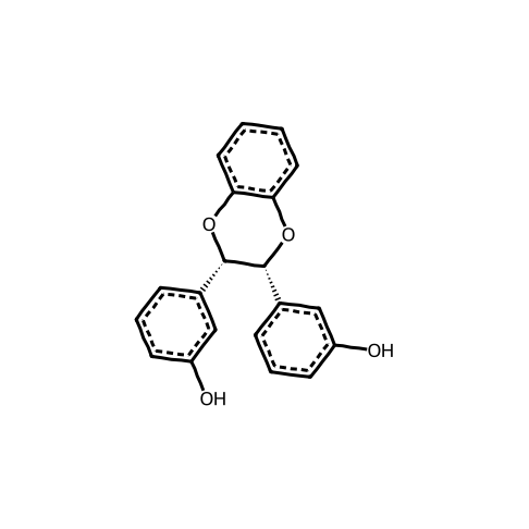 Oc1cccc([C@H]2Oc3ccccc3O[C@H]2c2cccc(O)c2)c1